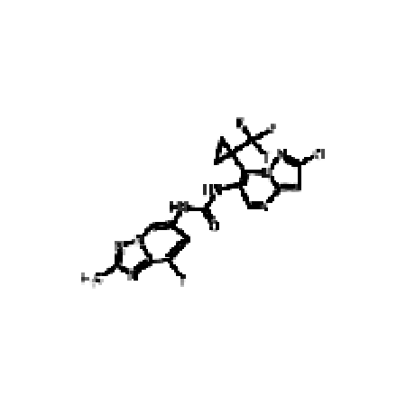 Cc1nc2c(F)cc(NC(=O)Nc3cnc4cc(Cl)nn4c3C3(C(F)(F)F)CC3)cn2n1